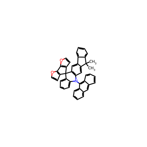 CC1(C)c2ccccc2-c2cc3c(cc21)N(c1c2ccccc2cc2ccccc12)c1ccccc1C31c2ccoc2-c2occc21